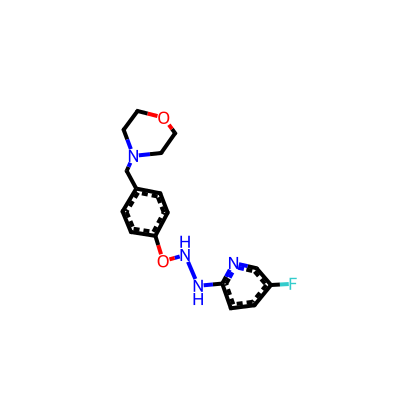 Fc1ccc(NNOc2ccc(CN3CCOCC3)cc2)nc1